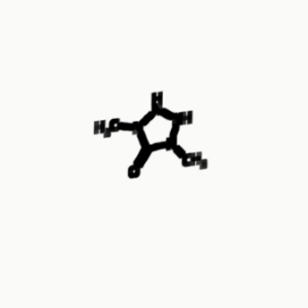 CN1NNN(C)C1=O